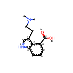 CN(C)CCc1c[nH]c2cccc(C(=O)O)c12